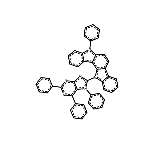 c1ccc(-c2nc(-c3ccccc3)c3c(n2)nc(-n2c4ccccc4c4ccc5c(c6ccccc6n5-c5ccccc5)c42)n3-c2ccccc2)cc1